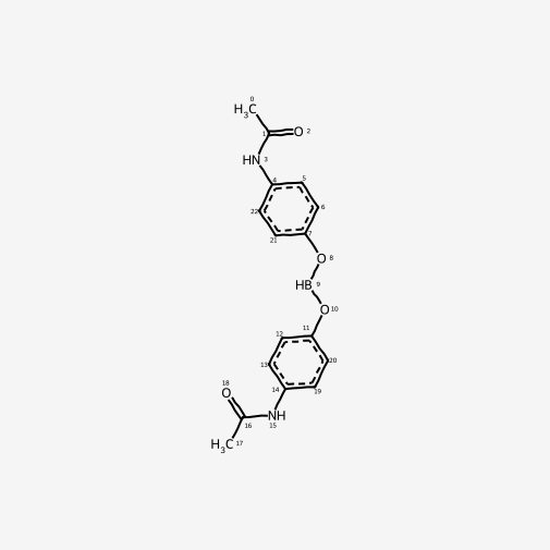 CC(=O)Nc1ccc(OBOc2ccc(NC(C)=O)cc2)cc1